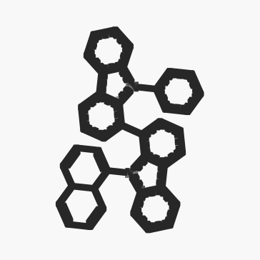 C1=CC2C=CC=C(n3c4ccccc4c4cccc(-c5cccc6c7ccccc7n(-c7ccccc7)c56)c43)C2C=C1